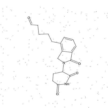 O=CCCCCc1cccc2c1CN(C1CCC(=O)NC1=O)C2=O